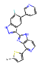 CC(=O)c1ccc(-c2nccc3[nH]c(-c4n[nH]c5cc(F)c(-c6cccnc6)cc45)nc23)s1